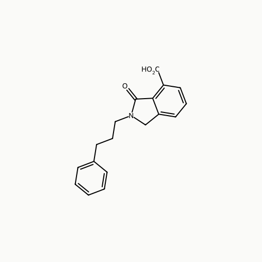 O=C(O)c1cccc2c1C(=O)N(CCCc1ccccc1)C2